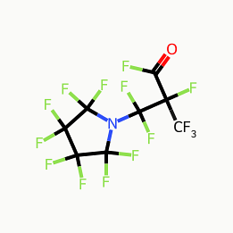 O=C(F)C(F)(C(F)(F)F)C(F)(F)N1C(F)(F)C(F)(F)C(F)(F)C1(F)F